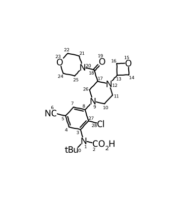 CC(C)(C)N(C(=O)O)c1cc(C#N)cc(N2CCN(C3COC3)C(C(=O)N3CCOCC3)C2)c1Cl